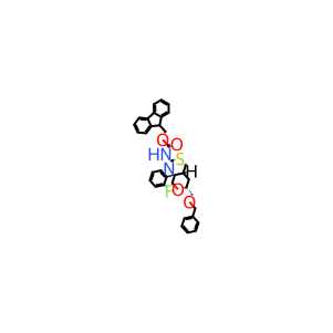 O=C(NC1=N[C@@]2(c3ccccc3F)CO[C@@H](COCc3ccccc3)C[C@H]2CS1)OCC1c2ccccc2-c2ccccc21